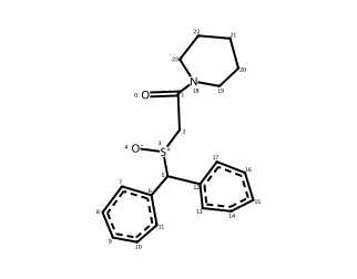 O=C(C[S+]([O-])C(c1ccccc1)c1ccccc1)N1CCCCC1